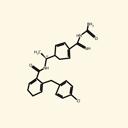 BC(=O)NC(=N)C1=CCC([C@H](C)NC(=O)C2=CCCC=C2Cc2ccc(Cl)cc2)C=C1